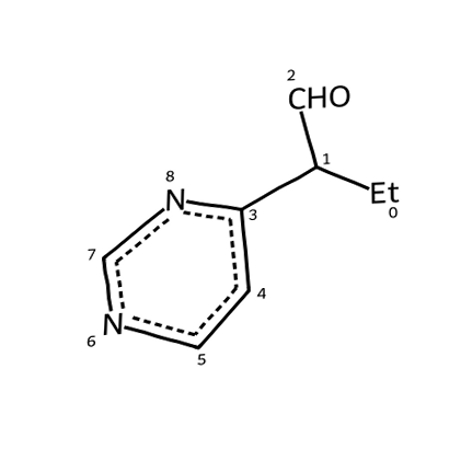 CCC(C=O)c1ccncn1